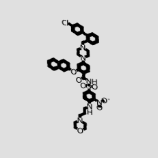 O=C(NS(=O)(=O)c1ccc(NCCCN2CCOCC2)c([N+](=O)[O-])c1)c1ccc(N2CCN(Cc3ccccc3-c3ccc(Cl)cc3)CC2)cc1Oc1ccc2ccccc2c1